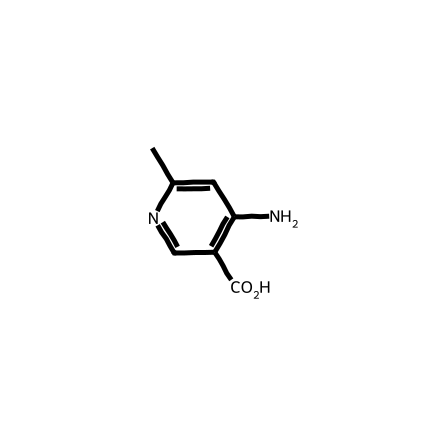 Cc1cc(N)c(C(=O)O)cn1